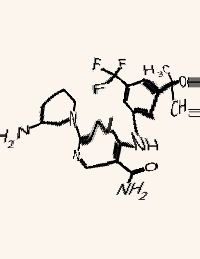 CC(C)(O)c1cc(Nc2nc(N3CCCC(N)C3)ncc2C(N)=O)cc(C(F)(F)F)c1